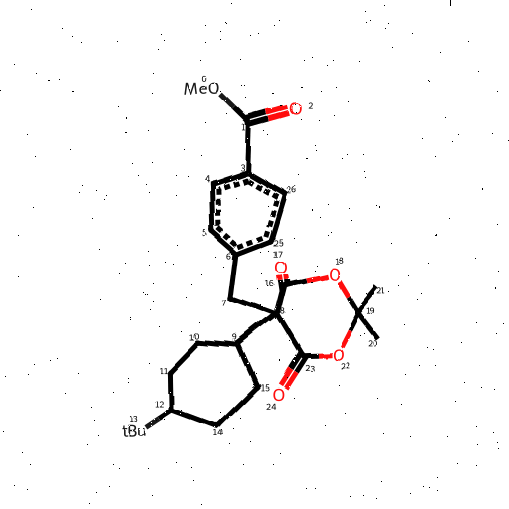 COC(=O)c1ccc(CC2(C3CCC(C(C)(C)C)CC3)C(=O)OC(C)(C)OC2=O)cc1